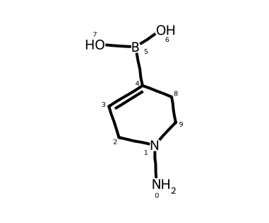 NN1CC=C(B(O)O)CC1